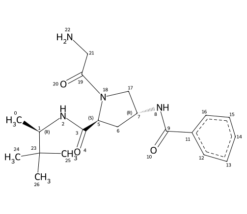 C[C@@H](NC(=O)[C@@H]1C[C@@H](NC(=O)c2ccccc2)CN1C(=O)CN)C(C)(C)C